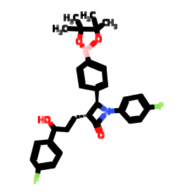 CC1(C)OB(c2ccc([C@@H]3[C@@H](CCC(O)c4ccc(F)cc4)C(=O)N3c3ccc(F)cc3)cc2)OC1(C)C